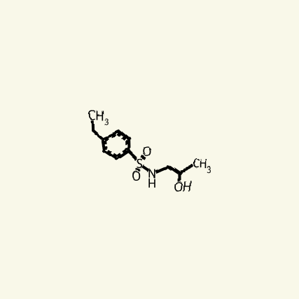 CCc1ccc(S(=O)(=O)NCC(C)O)cc1